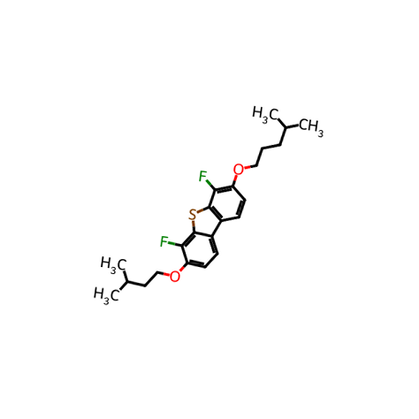 CC(C)CCCOc1ccc2c(sc3c(F)c(OCCC(C)C)ccc32)c1F